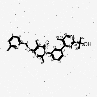 Cc1cccc(COc2nc(C)n(-c3cccc(-c4nc(C(C)(C)O)ncc4C)c3)c(=O)c2C)n1